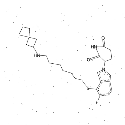 O=C1CCC(n2cc3ccc(F)c(SCCCCCCCNC4CC5(CCC5)C4)c3c2)C(=O)N1